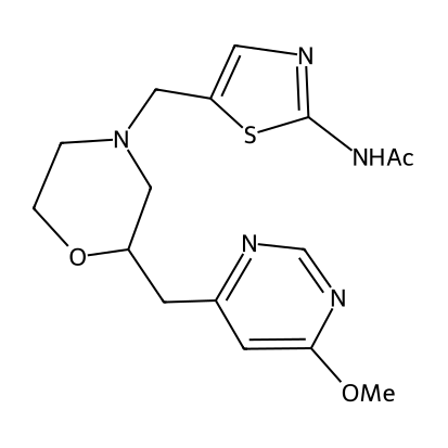 COc1cc(CC2CN(Cc3cnc(NC(C)=O)s3)CCO2)ncn1